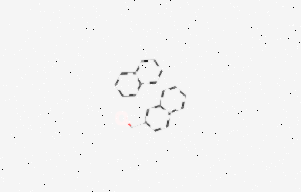 O=Cc1ccc2ccccc2c1.c1ccc2ccccc2c1